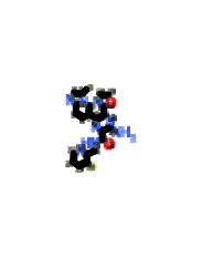 Cc1cnc2ccc(-c3nc(C(=O)NCc4ncccc4F)c(N)nc3-c3ncco3)cn12